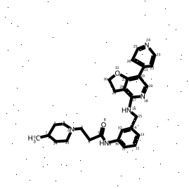 CC1CCN(CCC(=O)Nc2cccc(CNc3ncc(-c4ccncc4)c4c3CCO4)c2)CC1